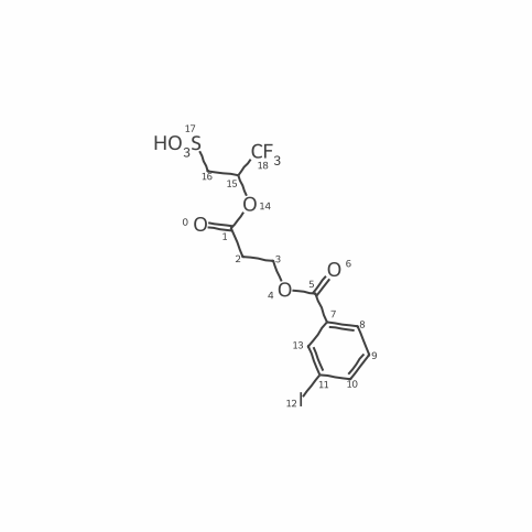 O=C(CCOC(=O)c1cccc(I)c1)OC(CS(=O)(=O)O)C(F)(F)F